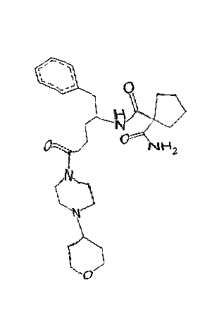 NC(=O)C1(C(=O)NC(CCC(=O)N2CCN(C3CCOCC3)CC2)Cc2ccccc2)CCCC1